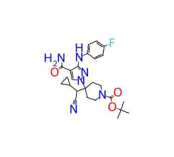 CC(C)(C)OC(=O)N1CCC(C(C#N)C2CC2)(n2cc(C(N)=O)c(Nc3ccc(F)cc3)n2)CC1